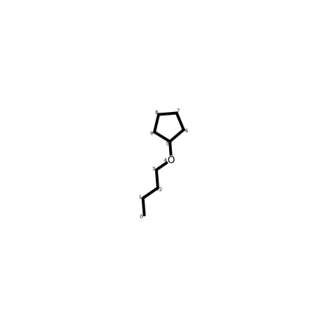 CC[CH]COC1CCCC1